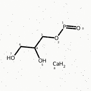 O=POCC(O)CO.[CaH2]